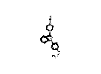 COc1ccc(-n2nc(N3CCN(C#N)CC3)c3ccccc32)cc1